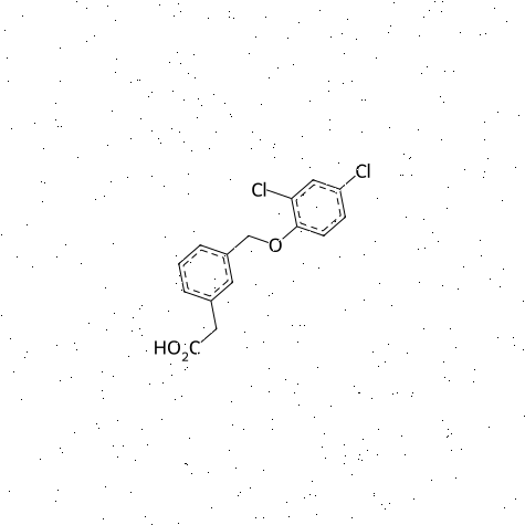 O=C(O)Cc1cccc(COc2ccc(Cl)cc2Cl)c1